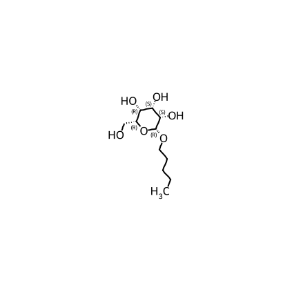 CCCCCO[C@@H]1O[C@H](CO)[C@H](O)[C@H](O)[C@@H]1O